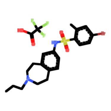 CCCN1CCc2ccc(NS(=O)(=O)c3ccc(Br)cc3C)cc2CC1.O=C(O)C(F)(F)F